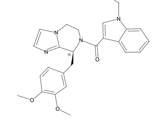 CCn1cc(C(=O)N2CCn3ccnc3[C@@H]2Cc2ccc(OC)c(OC)c2)c2ccccc21